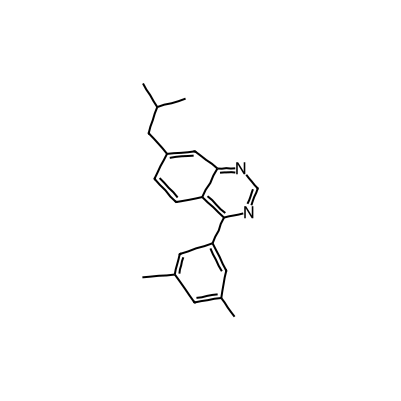 Cc1cc(C)cc(-c2ncnc3cc(CC(C)C)ccc23)c1